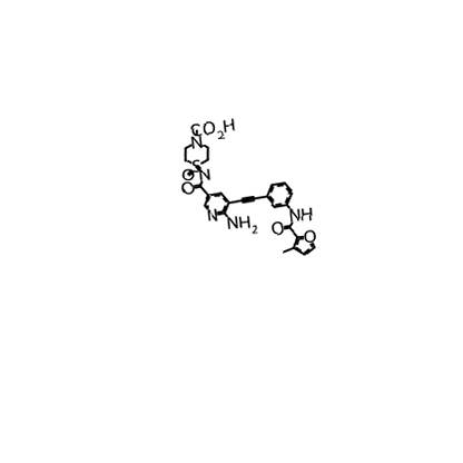 Cc1ccoc1C(=O)Nc1cccc(C#Cc2cc(C(=O)N=S3(=O)CCN(C(=O)O)CC3)cnc2N)c1